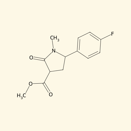 COC(=O)C1CC(c2ccc(F)cc2)N(C)C1=O